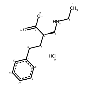 CCNC[C@@H](CCc1ccccc1)C(=O)O.Cl